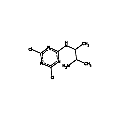 CC(N)C(C)Nc1nc(Cl)nc(Cl)n1